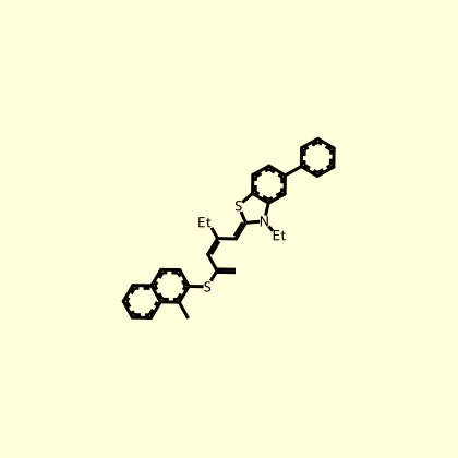 C=C(/C=C(\C=C1/Sc2ccc(-c3ccccc3)cc2N1CC)CC)Sc1ccc2ccccc2c1C